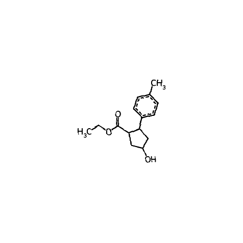 CCOC(=O)C1CC(O)CC1c1ccc(C)cc1